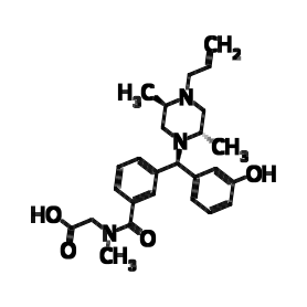 C=CCN1C[C@H](C)N([C@@H](c2cccc(O)c2)c2cccc(C(=O)N(C)CC(=O)O)c2)C[C@H]1C